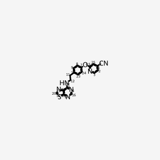 N#Cc1ccnc(Oc2ccc(CCNc3ncnc4scnc34)cc2)c1